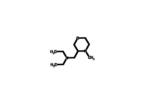 CCN(CC)CC1COCCN1C